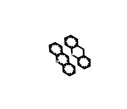 c1ccc2c(c1)Cc1ccccc1S2.c1ccc2nc3ccccc3cc2c1